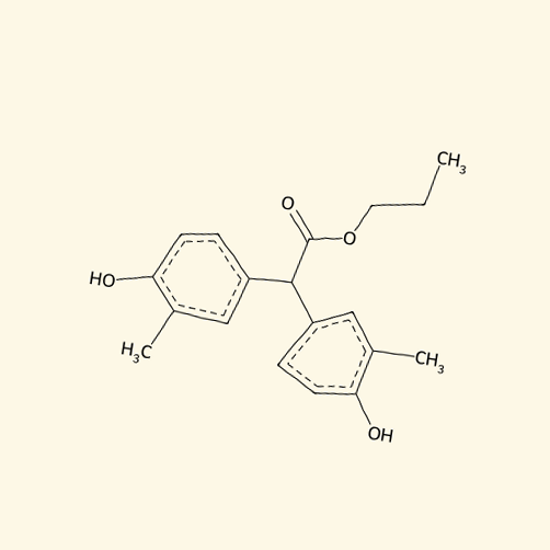 CCCOC(=O)C(c1ccc(O)c(C)c1)c1ccc(O)c(C)c1